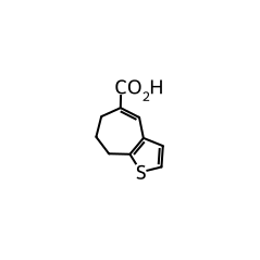 O=C(O)C1=Cc2ccsc2CCC1